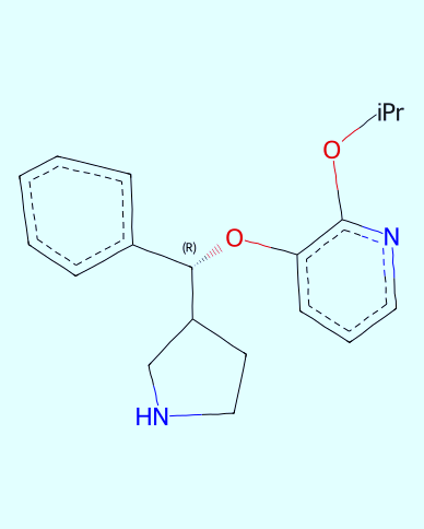 CC(C)Oc1ncccc1O[C@@H](c1ccccc1)C1CCNC1